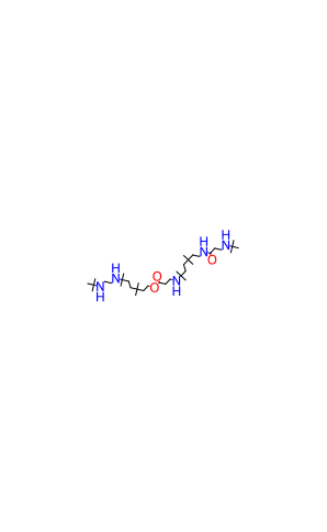 CC(C)(CCNC(=O)CCNC(C)(C)C)CCC(C)(C)NCCC(=O)OCCC(C)(C)CCC(C)(C)NCCNC(C)(C)C